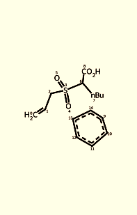 C=CCS(=O)(=O)C(CCCC)C(=O)O.c1ccccc1